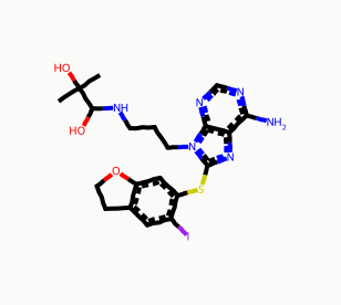 CC(C)(O)C(O)NCCCn1c(Sc2cc3c(cc2I)CCO3)nc2c(N)ncnc21